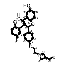 CC1=C(c2cc(F)ccc2Cl)C(c2ccc(OCCN3CC(CF)C3)cc2)Oc2ccc(O)cc21